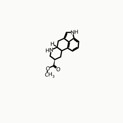 COC(=O)[C@H]1CN[C@@H]2Cc3c[nH]c4cccc(c34)C2C1